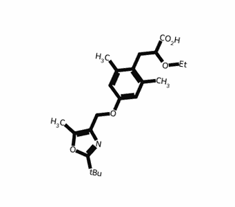 CCOC(Cc1c(C)cc(OCc2nc(C(C)(C)C)oc2C)cc1C)C(=O)O